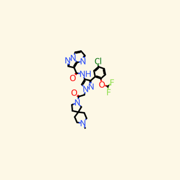 CN1CCC2(CC1)CCN(C(=O)Cn1cc(NC(=O)c3cnn4cccnc34)c(-c3cc(Cl)ccc3OC(F)F)n1)C2